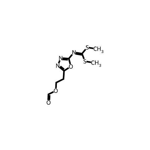 CSC(=Nc1nnc(CCOC=O)o1)SC